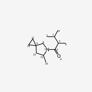 CC(C)C(C)C(=O)N1CC2(CC2)CC1C